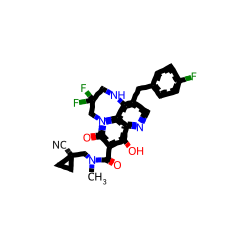 CN(CC1(C#N)CC1)C(=O)c1c(O)c2ncc(Cc3ccc(F)cc3)c3c2n(c1=O)CC(F)(F)CN3